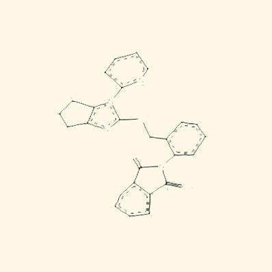 O=C1c2ccccc2C(=O)N1c1ccccc1CSc1nc2c(n1-c1ccccn1)CCC2